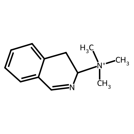 C[N+](C)(C)C1Cc2ccccc2C=N1